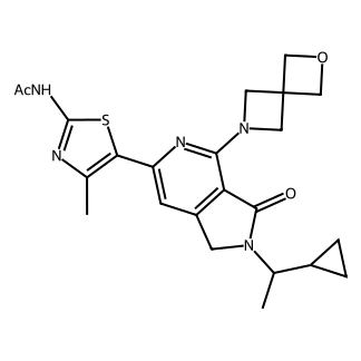 CC(=O)Nc1nc(C)c(-c2cc3c(c(N4CC5(COC5)C4)n2)C(=O)N(C(C)C2CC2)C3)s1